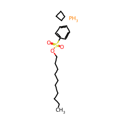 C1CCC1.CCCCCCCCCCOS(=O)(=O)c1ccccc1.P